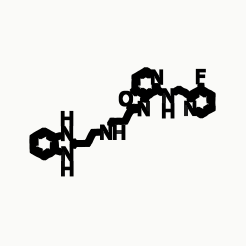 Fc1cccnc1CNc1nccc2oc(CCNCCC3Nc4ccccc4N3)nc12